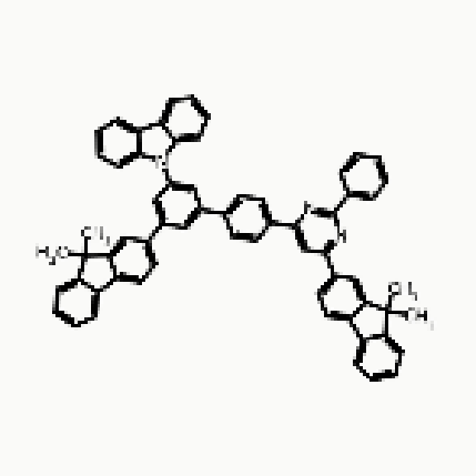 CC1(C)c2ccccc2-c2ccc(-c3cc(-c4ccc(-c5cc(-c6ccc7c(c6)C(C)(C)c6ccccc6-7)nc(-c6ccccc6)n5)cc4)cc(-n4c5ccccc5c5ccccc54)c3)cc21